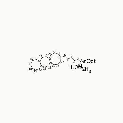 CCCCCCCCC(CCCCCC1CCCC2CCC3CCCCCCC3CCC2CCC1)N(C)C